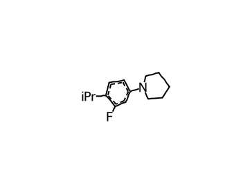 CC(C)c1ccc(N2CCCCC2)cc1F